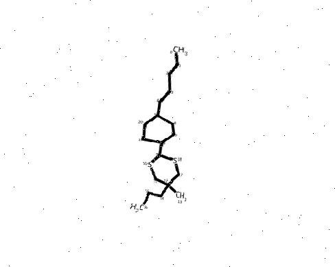 CCCCCC1CCC(C2SCC(C)(CCC)CS2)CC1